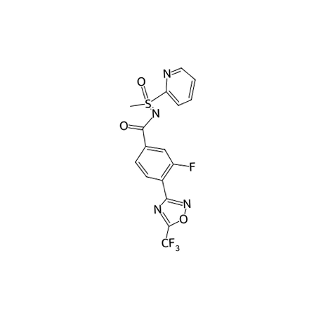 CS(=O)(=NC(=O)c1ccc(-c2noc(C(F)(F)F)n2)c(F)c1)c1ccccn1